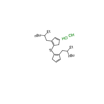 CCCCC(CC)CC1=[C]([Ti][C]2=C(CC(CC)CCCC)C=CC2)CC=C1.Cl.Cl